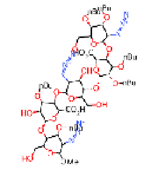 CCCCOC1[C@@H](O[C@@H]2OC(CO)[C@@H](O[C@@H]3OC(C(=O)O)[C@@H](O[C@H]4OC(CO)[C@@H](OCCCC)[C@H](OCCCC)C4N=[N+]=[N-])C(OCCCC)[C@@H]3OCCCC)[C@H](O)C2N=[N+]=[N-])C(C(=O)O)O[C@@H](O[C@@H]2C(CO)O[C@H](OC)C(N=[N+]=[N-])[C@H]2OCCCC)[C@H]1O